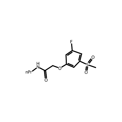 CCCNC(=O)COc1cc(F)cc(S(C)(=O)=O)c1